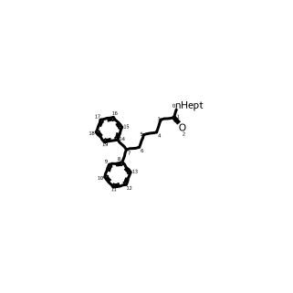 CCCCCCCC(=O)CCCCC(c1ccccc1)c1ccccc1